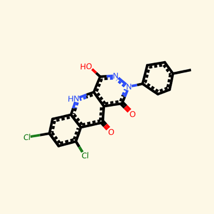 Cc1ccc(-n2nc(O)c3[nH]c4cc(Cl)cc(Cl)c4c(=O)c3c2=O)cc1